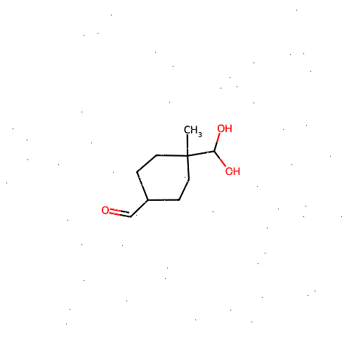 CC1(C(O)O)CCC(C=O)CC1